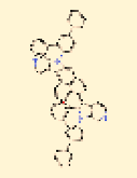 c1ccc(-c2ccc(-n3c4cnccc4c4c5ccc6cc7c(c8ccc(cc43)c5c68)c3ccncc3n7-c3ccc(-c4ccccc4)cc3-c3ccccc3)c(-c3ccccc3)c2)cc1